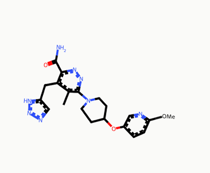 COc1ccc(OC2CCN(c3nnc(C(N)=O)c(Cc4cnn[nH]4)c3C)CC2)cn1